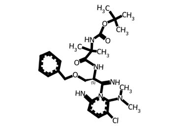 CN(C)c1c(Cl)ccc(=N)n1C(=N)[C@@H](COCc1ccccc1)NC(=O)C(C)(C)NC(=O)OC(C)(C)C